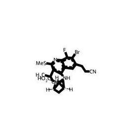 CSc1nc2c(F)c(Br)c(CCC#N)cc2c(N[C@H]2[C@@H]3C[C@H]2N(C(=O)O)C3)c1C(C)O